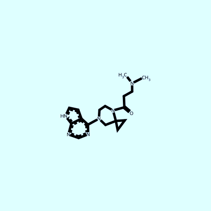 CN(C)CCC(=O)N1CCN(c2ncnc3[nH]ccc23)CC12CC2